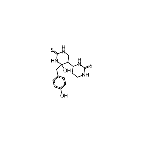 Oc1ccc(CC2(O)NC(=S)NCC2C2CCNC(=S)N2)cc1